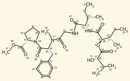 CC[C@H](C)[C@H](NC(=O)[C@H](OC(=O)[C@@H](O)C(C)C)[C@@H](C)CC)C(=O)NCC(=O)N(C)[C@H](Cc1ccccc1)C(=O)N1CCC[C@H]1C(=O)OC